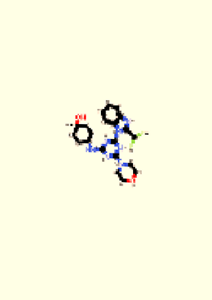 C[C@]1(O)CC[C@@H](Nc2nc(N3CCOCC3)nc(-n3c(C(F)F)nc4ccccc43)n2)CC1